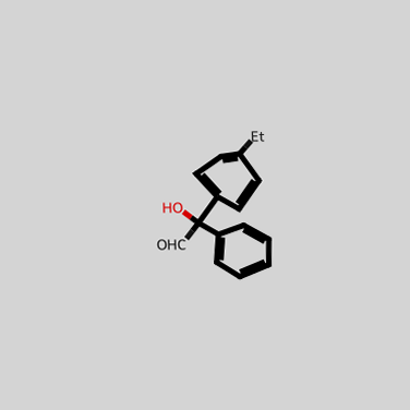 CCc1ccc(C(O)(C=O)c2ccccc2)cc1